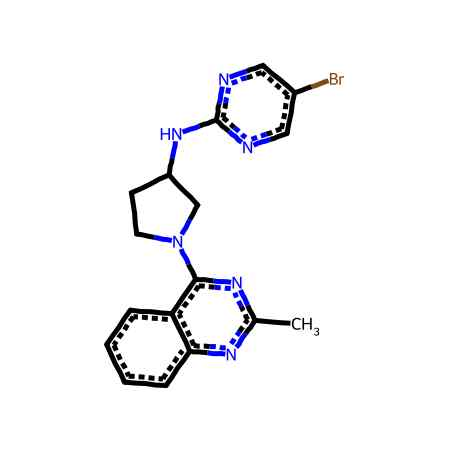 Cc1nc(N2CCC(Nc3ncc(Br)cn3)C2)c2ccccc2n1